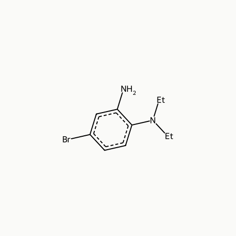 CCN(CC)c1ccc(Br)cc1N